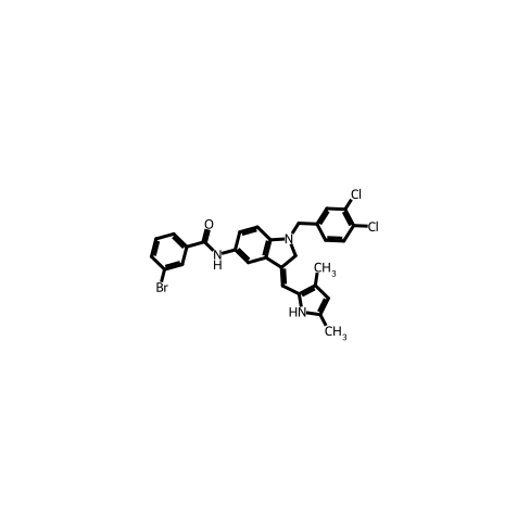 Cc1cc(C)c(/C=C2\CN(Cc3ccc(Cl)c(Cl)c3)c3ccc(NC(=O)c4cccc(Br)c4)cc32)[nH]1